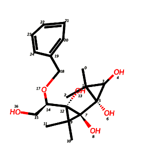 CC1(C)C(O)[C@@]1(O)[C@]1(O)C(C)(C)[C@@]1(O)[C@@H](CO)OCc1ccccc1